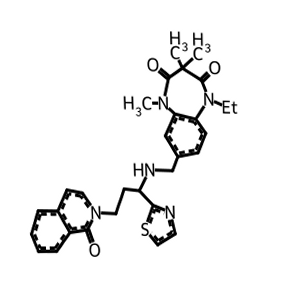 CCN1C(=O)C(C)(C)C(=O)N(C)c2cc(CNC(CCn3ccc4ccccc4c3=O)c3nccs3)ccc21